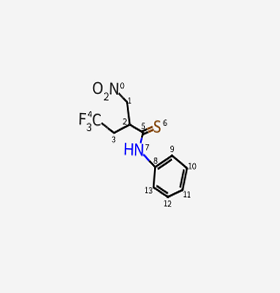 O=[N+]([O-])CC(CC(F)(F)F)C(=S)Nc1ccccc1